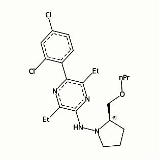 CCCOC[C@H]1CCCN1Nc1nc(CC)c(-c2ccc(Cl)cc2Cl)nc1CC